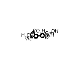 CC(=O)N1c2ccc(-c3ccc(S(=O)(=O)NCCO)cc3)cc2N(C(=O)O)C[C@@H]1C